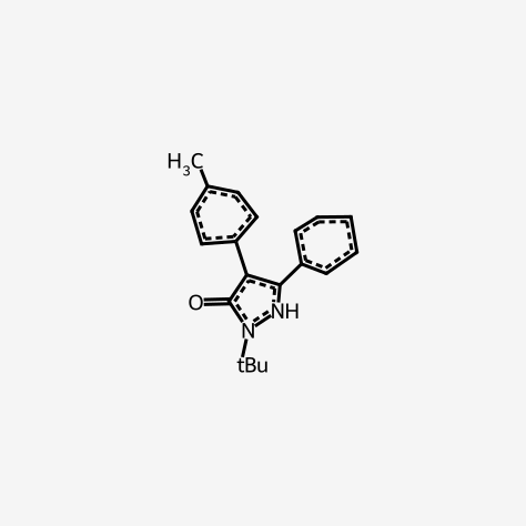 Cc1ccc(-c2c(-c3ccccc3)[nH]n(C(C)(C)C)c2=O)cc1